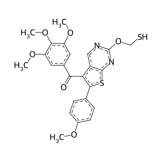 COc1ccc(-c2sc3nc(OCS)ncc3c2C(=O)c2cc(OC)c(OC)c(OC)c2)cc1